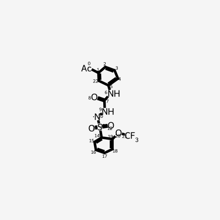 CC(=O)c1cccc(NC(=O)N[N]S(=O)(=O)c2ccccc2OC(F)(F)F)c1